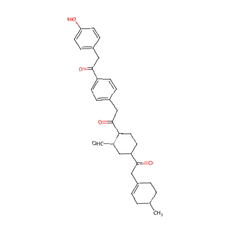 CC1CC=C(CC(=O)C2CCC(C(=O)Cc3ccc(C(=O)Cc4ccc(O)cc4)cc3)C(C=O)C2)CC1